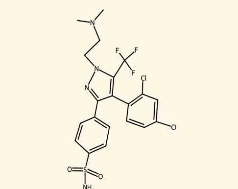 CN(C)CCn1nc(-c2ccc(S(N)(=O)=O)cc2)c(-c2ccc(Cl)cc2Cl)c1C(F)(F)F